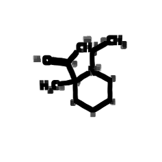 CCN1CCCCC1(C)C(C)=O